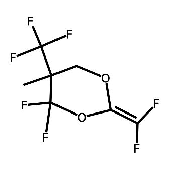 CC1(C(F)(F)F)COC(=C(F)F)OC1(F)F